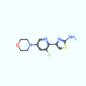 Nc1nc(-c2ncc(N3CCOCC3)cc2F)cs1